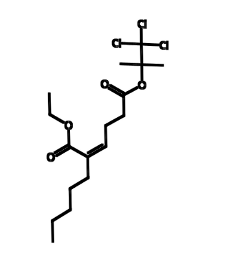 CCCCCC(=CCCC(=O)OC(C)(C)C(Cl)(Cl)Cl)C(=O)OCC